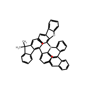 CC1(C)c2ccccc2-c2c(-c3ccccc3N(c3ccccc3-c3cccc4ccccc34)c3cccc4c3oc3ccccc34)cccc21